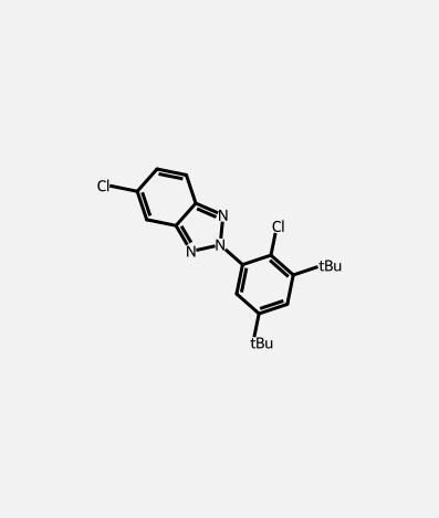 CC(C)(C)c1cc(-n2nc3ccc(Cl)cc3n2)c(Cl)c(C(C)(C)C)c1